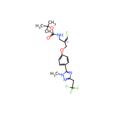 Cn1nc(CC(F)(F)F)nc1-c1ccc(OC/C(=C/F)CNC(=O)OC(C)(C)C)cc1